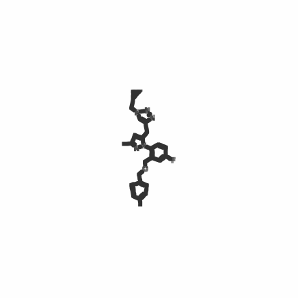 Cc1ccc(COCc2cc(F)ccc2-n2nc(C)cc2Cc2cn(CC3CC3)nn2)cc1